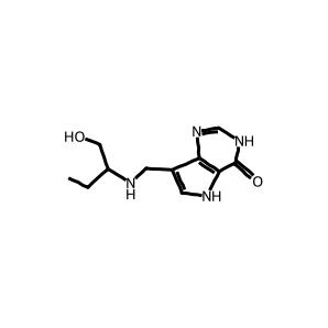 CCC(CO)NCc1c[nH]c2c(=O)[nH]cnc12